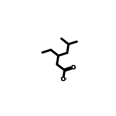 CCC(CC([O])=O)CC(C)C